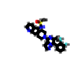 Cc1nc(N2CCC3(CC2)Cc2ncccc2[C@H]3N[S@+]([O-])C(C)(C)C)c2ccnn2c1-c1cccc(F)c1F